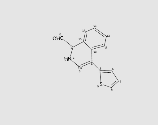 O=CC1NN=C(c2cccs2)c2ccccc21